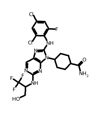 NC(=O)C1CCC(n2c(Nc3c(F)cc(Cl)cc3Cl)nc3cnc(NC(CO)C(F)(F)F)nc32)CC1